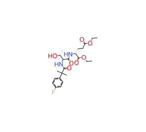 CCOC(=O)CC[C@@H](NC(=O)[C@@H](NC(=O)C(C)(C)c1ccc(F)cc1)[C@@H](C)O)C(=O)OCC